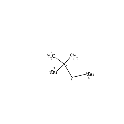 CC(C)(C)CC(C(C)(C)C)(C(F)(F)F)C(F)(F)F